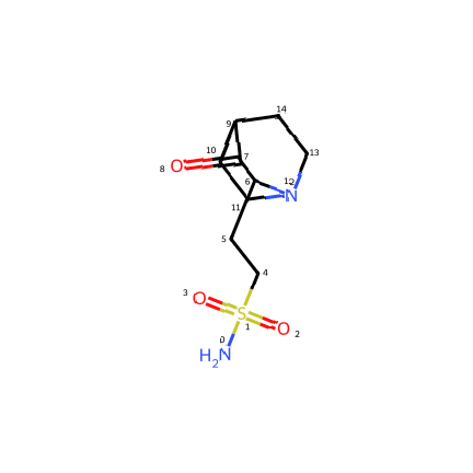 NS(=O)(=O)CCC1C(=O)C2CCN1CC2